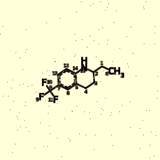 CCC1CCc2cc(C(F)(F)F)ccc2N1